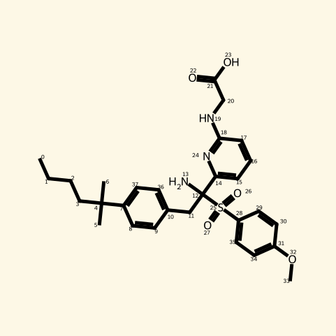 CCCCC(C)(C)c1ccc(CC(N)(c2cccc(NCC(=O)O)n2)S(=O)(=O)c2ccc(OC)cc2)cc1